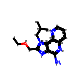 CCOCc1nc2c(N)nc3cccnc3c2n1CC(C)C